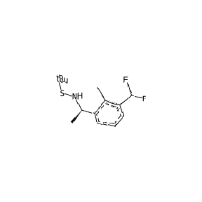 Cc1c(C(F)F)cccc1[C@@H](C)NSC(C)(C)C